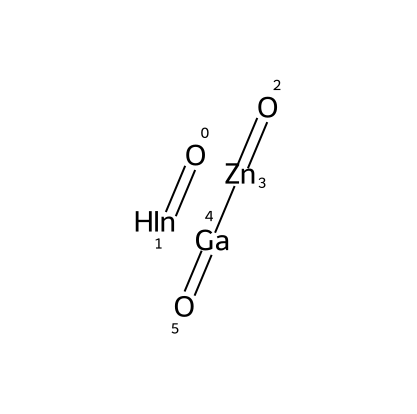 [O]=[InH].[O]=[Zn][Ga]=[O]